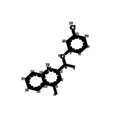 Cc1cc(C(C)Oc2cccc(Cl)c2)nc2ccccc12